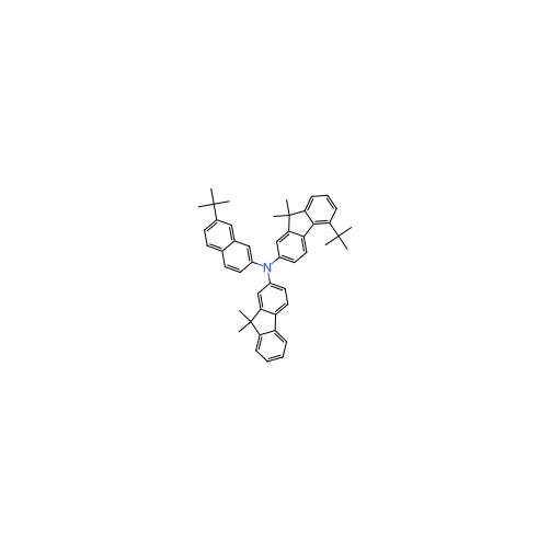 CC(C)(C)c1ccc2ccc(N(c3ccc4c(c3)C(C)(C)c3ccccc3-4)c3ccc4c(c3)C(C)(C)c3cccc(C(C)(C)C)c3-4)cc2c1